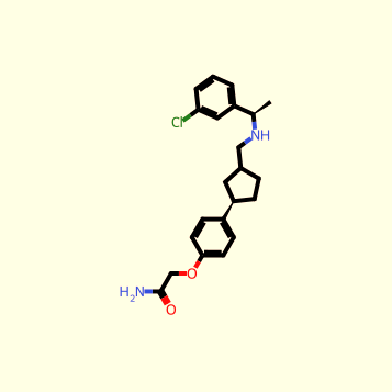 C[C@@H](NCC1CC[C@@H](c2ccc(OCC(N)=O)cc2)C1)c1cccc(Cl)c1